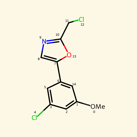 COc1cc(Cl)cc(-c2cnc(CCl)o2)c1